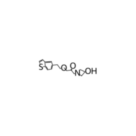 O=C(COCCc1ccc2sccc2c1)CN1CC(O)C1